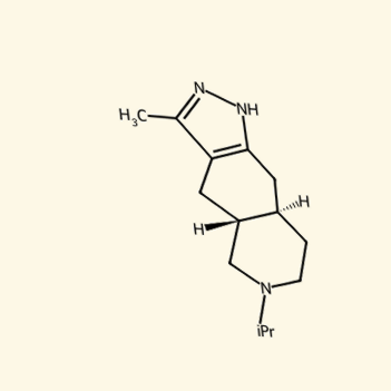 Cc1n[nH]c2c1C[C@H]1CN(C(C)C)CC[C@@H]1C2